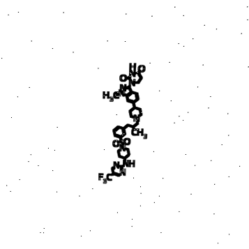 CC(Cc1cccc(S(=O)(=O)N2CCC(Nc3ncc(C(F)(F)F)cn3)CC2)c1)CN1CCC(c2ccc3c(N4CCC(=O)NC4=O)nn(C)c3c2)CC1